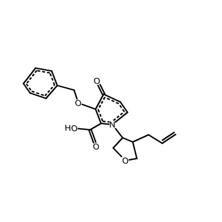 C=CCC1COCC1n1ccc(=O)c(OCc2ccccc2)c1C(=O)O